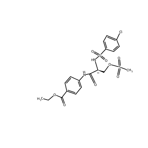 CCOC(=O)c1ccc(NC(=O)[C@H](COS(C)(=O)=O)NS(=O)(=O)c2ccc(Cl)cc2)cc1